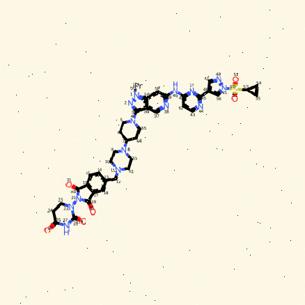 CC(C)n1nc(N2CCC(N3CCN(Cc4ccc5c(c4)C(=O)N(N4CCC(=O)NC4=O)C5=O)CC3)CC2)c2cnc(Nc3ccnc(-c4cnn(S(=O)(=O)C5CC5)c4)n3)cc21